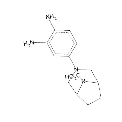 Nc1ccc(N2CC3CCC(C2)N3C(=O)O)cc1N